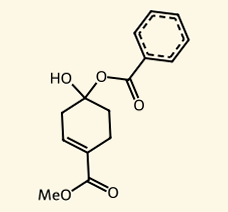 COC(=O)C1=CCC(O)(OC(=O)c2ccccc2)CC1